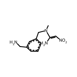 CN(Cc1cccc(CN)c1)C(N)=C[N+](=O)[O-]